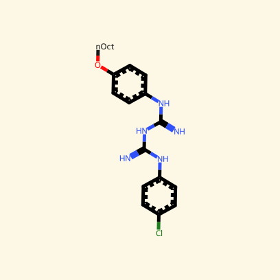 CCCCCCCCOc1ccc(NC(=N)NC(=N)Nc2ccc(Cl)cc2)cc1